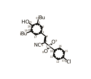 CCC(C)c1cc(/C=C(\C#N)S(=O)(=O)c2ccc(Cl)cc2)cc(C(C)CC)c1O